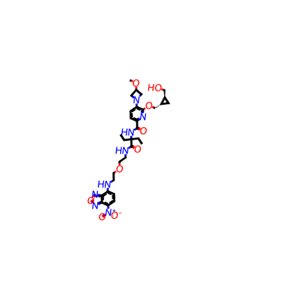 CCC(CC)(NC(=O)c1ccc(N2CC(OC)C2)c(OC[C@H]2C[C@@H]2CO)n1)C(=O)NCCOCCNc1ccc([N+](=O)[O-])c2nonc12